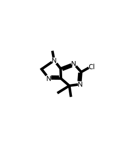 CN1CN=C2C1=NC(Cl)=NC2(C)C